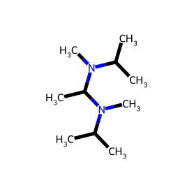 CC(C)N(C)C(C)N(C)C(C)C